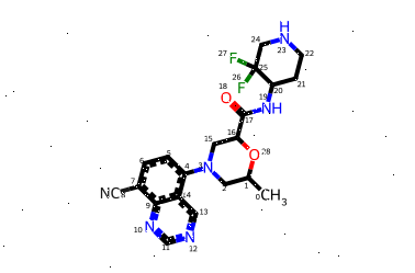 CC1CN(c2ccc(C#N)c3ncncc23)CC(C(=O)NC2CCNCC2(F)F)O1